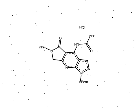 CCCCCn1ncc2c(NC(=O)CCC)c3c(nc21)CN(CCC)C3=O.Cl